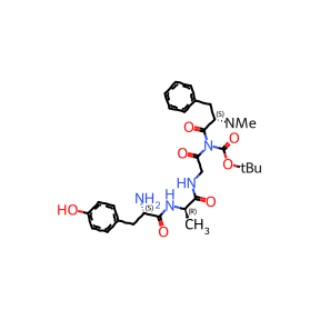 CN[C@@H](Cc1ccccc1)C(=O)N(C(=O)CNC(=O)[C@@H](C)NC(=O)[C@@H](N)Cc1ccc(O)cc1)C(=O)OC(C)(C)C